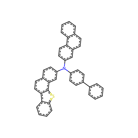 c1ccc(-c2ccc(N(c3ccc4c(ccc5ccccc54)c3)c3ccc4ccc5c6ccccc6sc5c4c3)cc2)cc1